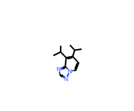 CC(C)c1ccn2ncnc2c1C(C)C